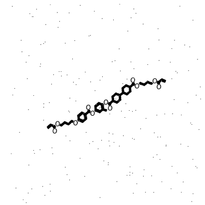 C=CC(=O)OCCCCOC(=O)C1CCC(C2CCC(C(=O)Oc3ccc(OC(=O)c4ccc(OCCCCOC(=O)C=C)cc4)cc3C)CC2)CC1